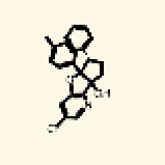 Cc1ccc(C23Oc4cc(Cl)cnc4C2(O)CC[C@H]3c2ccccc2)cc1